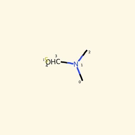 CN(C)C=O.[S]